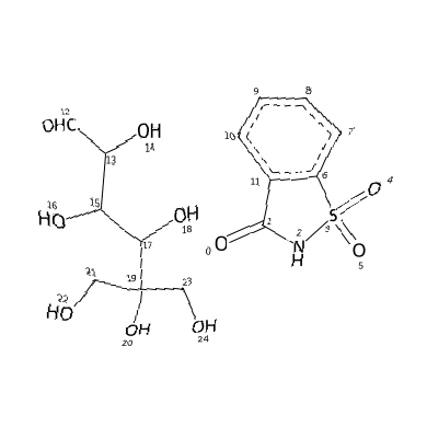 O=C1NS(=O)(=O)c2ccccc21.O=CC(O)C(O)C(O)C(O)(CO)CO